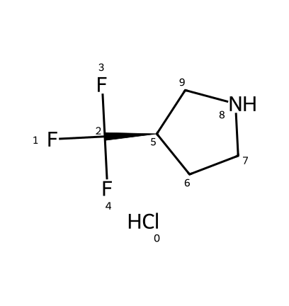 Cl.FC(F)(F)[C@@H]1CCNC1